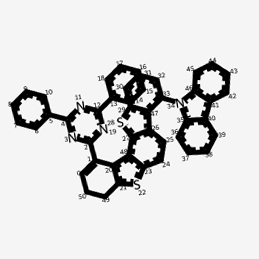 C1=C(c2nc(-c3ccccc3)nc(-c3ccccc3)n2)c2c(sc3ccc4c(sc5cccc(-n6c7ccccc7c7ccccc76)c54)c23)CC1